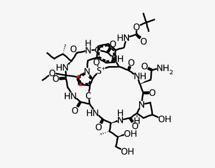 CC[C@H](C)[C@@H]1NC(=O)CNC(=O)C2Cc3c(n(Cc4ccc(CNC(=O)OC(C)(C)C)cc4)c4cc(OC)ccc34)[S@+]([O-])CC(NC(=O)CNC1=O)C(=O)N[C@@H](CC(N)=O)C(=O)N1CC(O)C[C@H]1C(=O)N[C@@H]([C@@H](C)[C@@H](O)CO)C(=O)N2